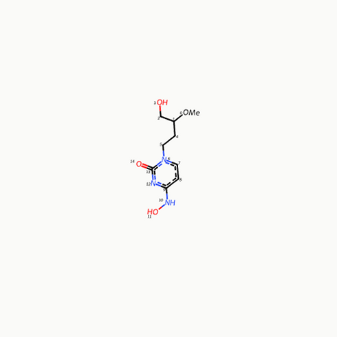 COC(CO)CCn1ccc(NO)nc1=O